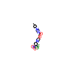 Cc1ccc(N2CCN(C(=O)COC3CCN(c4ccc([N+](=O)[O-])c(C(F)(F)F)c4)CC3)CC2)cc1